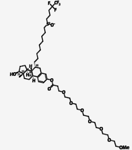 COCCOCCOCCOCCOCCOCCOCCC(=O)Oc1ccc2c(c1)C[C@@H](CCCCCCCCC[S+]([O-])CCCC(F)(F)C(F)(F)F)[C@@H]1[C@@H]2CC[C@]2(C)[C@@H](O)CC[C@@H]12